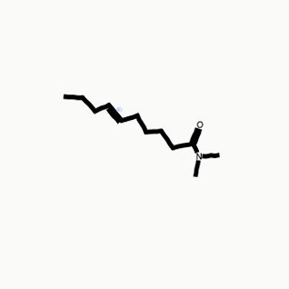 CCC/C=C/CCCCC(=O)N(C)C